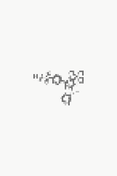 CS(=O)(=O)c1ccc(-c2nc(Nc3cccnc3)nc(C(Cl)(Cl)Cl)n2)cc1